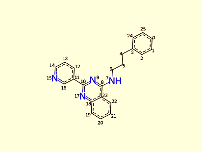 c1ccc(CCCNc2nc(-c3cccnc3)nc3ccccc23)cc1